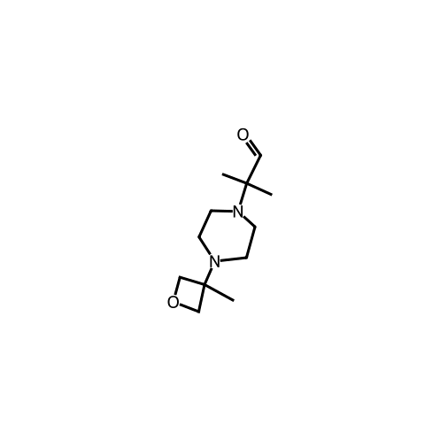 CC(C)(C=O)N1CCN(C2(C)COC2)CC1